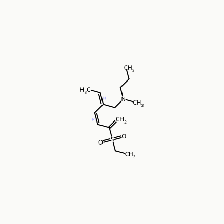 C=C(/C=C\C(=C/C)CN(C)CCC)S(=O)(=O)CC